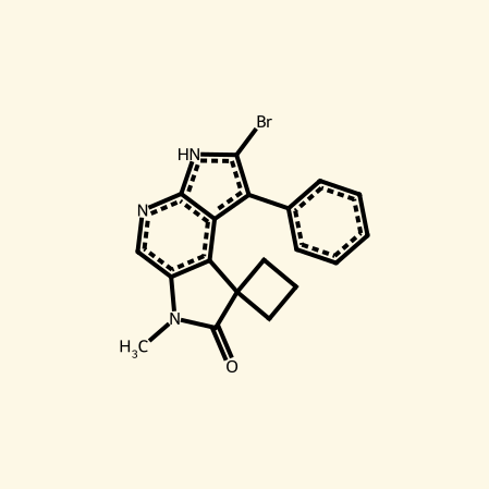 CN1C(=O)C2(CCC2)c2c1cnc1[nH]c(Br)c(-c3ccccc3)c21